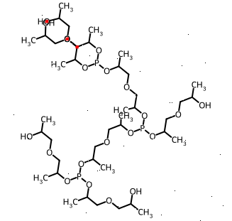 CC(O)COCC(C)OP(OC(C)COCC(C)O)OC(C)COCC(C)OP(OC(C)COCC(C)O)OC(C)COCC(C)OP(OC(C)COCC(C)O)OC(C)COCC(C)O